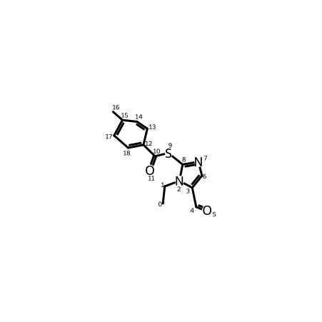 CCn1c(C=O)cnc1SC(=O)c1ccc(C)cc1